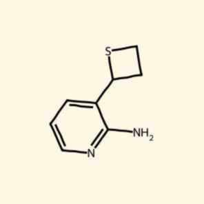 Nc1ncccc1C1CCS1